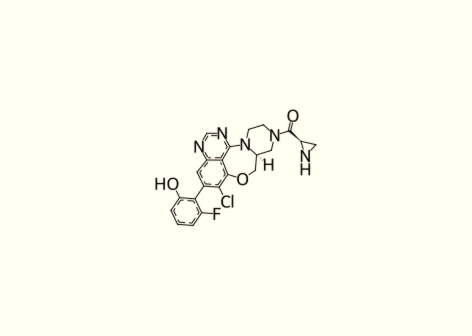 O=C([C@H]1CN1)N1CCN2c3ncnc4cc(-c5c(O)cccc5F)c(Cl)c(c34)OC[C@@H]2C1